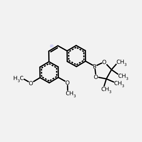 COc1cc(/C=C\c2ccc(B3OC(C)(C)C(C)(C)O3)cc2)cc(OC)c1